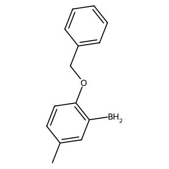 Bc1cc(C)ccc1OCc1ccccc1